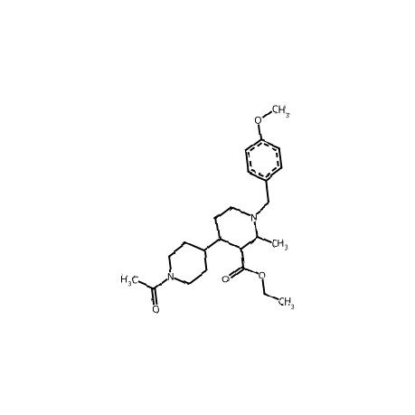 CCOC(=O)C1C(C2CCN(C(C)=O)CC2)CCN(Cc2ccc(OC)cc2)C1C